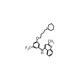 Cc1cc(Nc2cc(OCCCCN3CCCCC3)cc(C(F)(F)F)c2)c2ccccc2n1